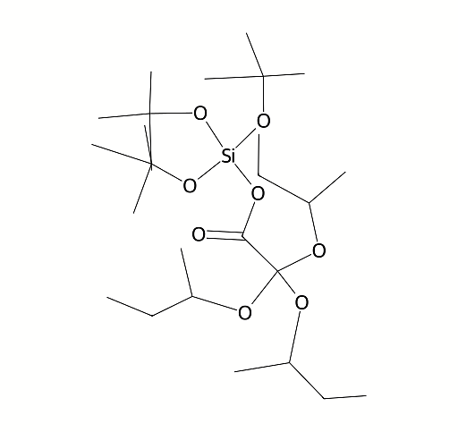 CCC(C)OC(OC(C)CC)(OC(C)CC)C(=O)O[Si](OC(C)(C)C)(OC(C)(C)C)OC(C)(C)C